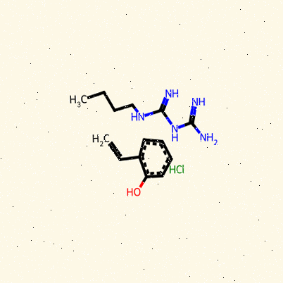 C=Cc1ccccc1O.CCCCNC(=N)NC(=N)N.Cl